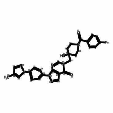 O=C(c1ccc(F)cc1)N1CCC(O)(Cn2cnc3c(cnn3-c3ccc(-n4cc(C(F)(F)F)cn4)cc3)c2=O)CC1